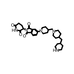 O=C1CCC(N2C(=O)c3ccc(N4CCC(CN5CCC(CC6CCNCC6)CC5)CC4)cc3C2=O)C(=O)N1